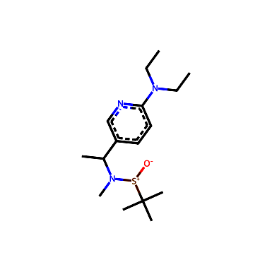 CCN(CC)c1ccc(C(C)N(C)[S+]([O-])C(C)(C)C)cn1